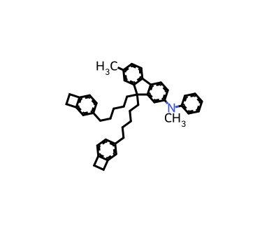 Cc1ccc2c(c1)C(CCCCCc1ccc3c(c1)CC3)(CCCCCc1ccc3c(c1)CC3)c1cc(N(C)c3ccccc3)ccc1-2